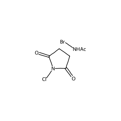 CC(=O)NBr.O=C1CCC(=O)N1Cl